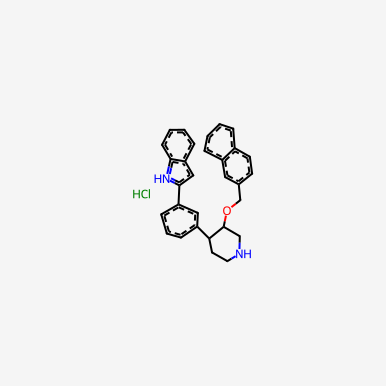 Cl.c1cc(-c2cc3ccccc3[nH]2)cc(C2CCNCC2OCc2ccc3ccccc3c2)c1